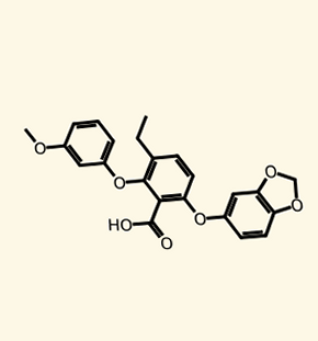 CCc1ccc(Oc2ccc3c(c2)OCO3)c(C(=O)O)c1Oc1cccc(OC)c1